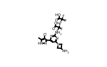 Cc1[nH]nc(-c2cc(N3CC(N)C3)nc(N)n2)c1Cl.O=C(O)C(F)(F)F.O=C(O)C(F)(F)F